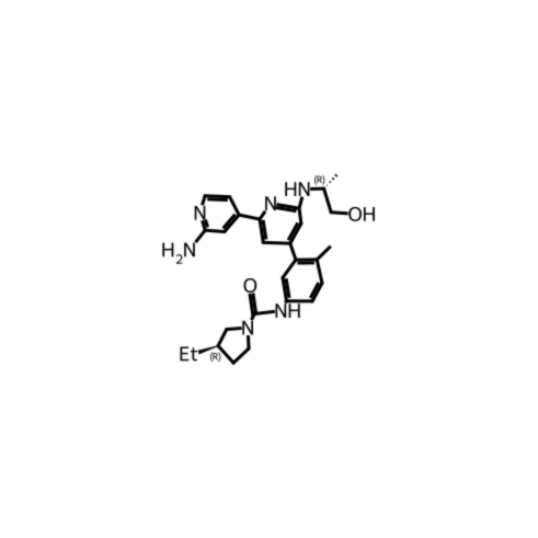 CC[C@@H]1CCN(C(=O)Nc2ccc(C)c(-c3cc(N[C@H](C)CO)nc(-c4ccnc(N)c4)c3)c2)C1